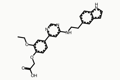 CCOc1cc(-c2cc(NCCc3ccc4[nH]ccc4c3)ncn2)ccc1OCC(=O)O